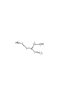 C=CC(CCCCCC)OC=O